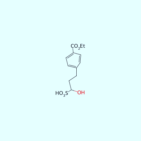 CCOC(=O)c1ccc(CCC(O)S(=O)(=O)O)cc1